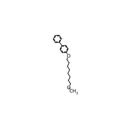 COCCCCCCCCOc1ccc(-c2[c]cccc2)cc1